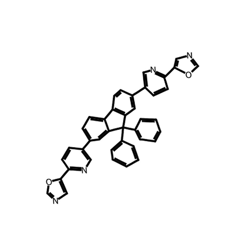 c1ccc(C2(c3ccccc3)c3cc(-c4ccc(-c5cnco5)nc4)ccc3-c3ccc(-c4ccc(-c5cnco5)nc4)cc32)cc1